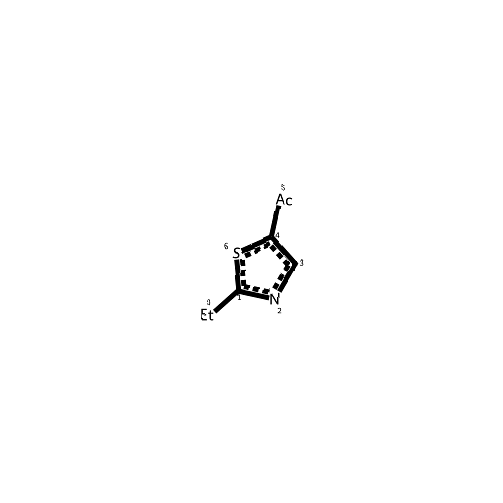 CCc1ncc(C(C)=O)s1